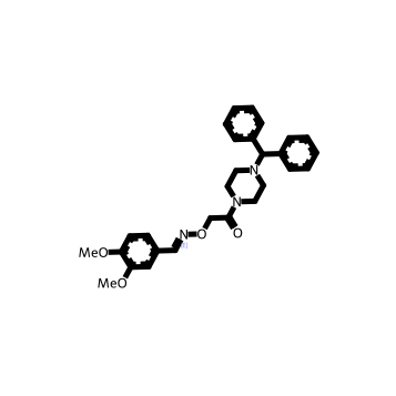 COc1ccc(/C=N/OCC(=O)N2CCN(C(c3ccccc3)c3ccccc3)CC2)cc1OC